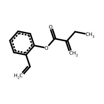 C=Cc1ccccc1OC(=O)C(=C)CC